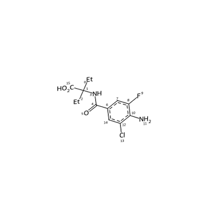 CCC(CC)(NC(=O)c1cc(F)c(N)c(Cl)c1)C(=O)O